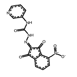 O=C(NN=c1c(=O)c2cccc([N+](=O)[O-])c2c1=O)Nc1cccnc1